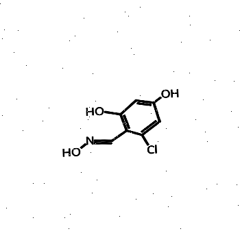 O/N=C/c1c(O)cc(O)cc1Cl